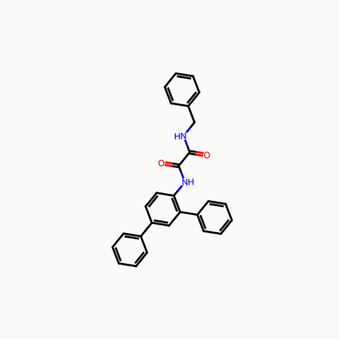 O=C(NCc1ccccc1)C(=O)Nc1ccc(-c2ccccc2)cc1-c1ccccc1